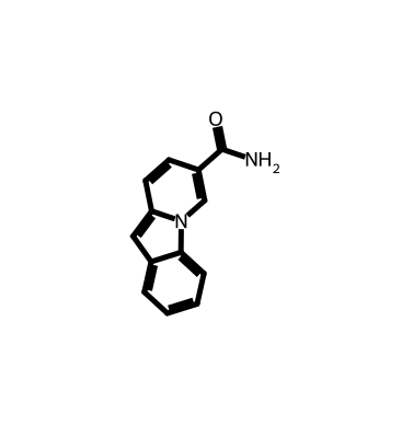 NC(=O)c1ccc2cc3ccccc3n2c1